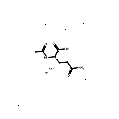 CC(=O)NC(CCC(N)=O)C(=O)O.[Cl-].[Na+]